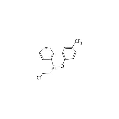 FC(F)(F)c1ccc(O[C@H](CCCl)c2ccccc2)cc1